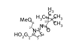 COCCn1c(CC(=O)O)csc1=NC(=O)C1C(C)(C)C1(C)C